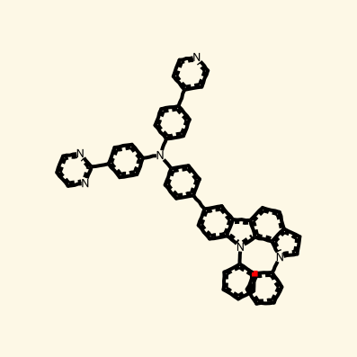 c1ccc(-n2ccc3ccc4c5cc(-c6ccc(N(c7ccc(-c8ccncc8)cc7)c7ccc(-c8ncccn8)cc7)cc6)ccc5n(-c5ccccc5)c4c32)cc1